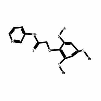 S=C(COc1c(SBr)cc(SBr)cc1SBr)Nc1cccnc1